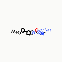 COc1cccc(-c2ccc3c(c2)CN(C(=O)CN/C=N\C(=N)C=N)C3)c1